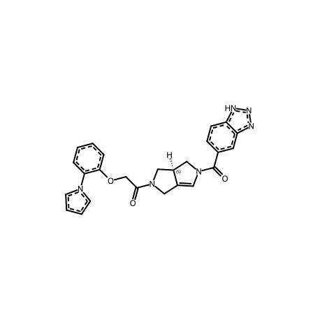 O=C(c1ccc2[nH]nnc2c1)N1C=C2CN(C(=O)COc3ccccc3-n3cccc3)C[C@H]2C1